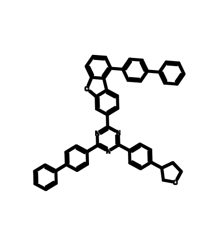 c1ccc(-c2ccc(-c3nc(-c4ccc(C5CCOC5)cc4)nc(-c4ccc5c(c4)oc4cccc(-c6ccc(-c7ccccc7)cc6)c45)n3)cc2)cc1